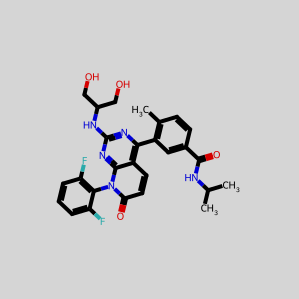 Cc1ccc(C(=O)NC(C)C)cc1-c1nc(NC(CO)CO)nc2c1ccc(=O)n2-c1c(F)cccc1F